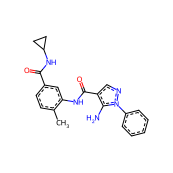 Cc1ccc(C(=O)NC2CC2)cc1NC(=O)c1cnn(-c2ccccc2)c1N